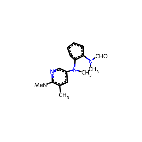 CNc1ncc(N(C)c2ccccc2N(C)C=O)cc1C